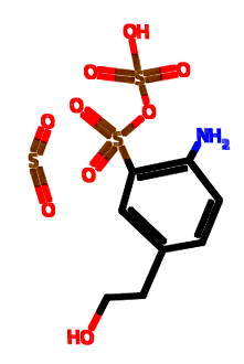 Nc1ccc(CCO)cc1S(=O)(=O)OS(=O)(=O)O.O=S=O